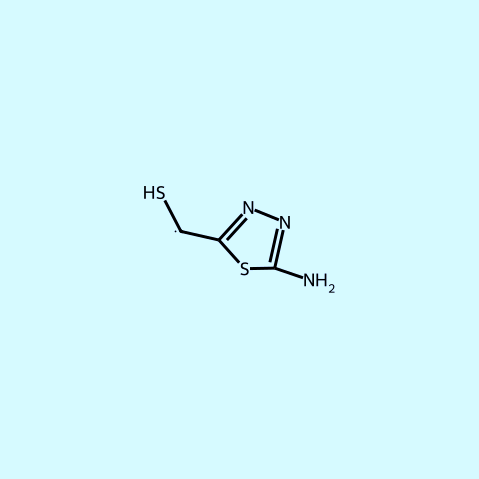 Nc1nnc([CH]S)s1